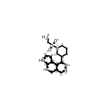 CCS(=O)(=O)N1CCCC(c2nncc3cnc4[nH]ccc4c23)C1